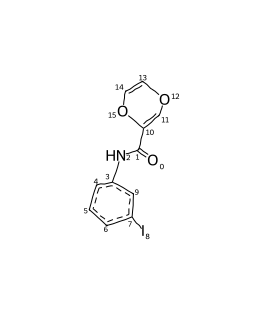 O=C(Nc1cccc(I)c1)C1=COC=CO1